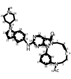 CC(=O)N1CCC/C=C\Cn2c(=O)c3cnc(Nc4ccc5c(ccn5C5CCN(C)CC5)c4)nc3n2-c2cccc1c2